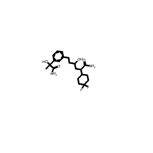 CC(O)(C(N)=O)c1cccc(C[CH]C(O)CC(C(N)=O)C2CCC(F)(F)CC2)c1